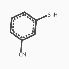 N#Cc1ccc[c]([SnH])c1